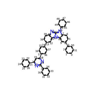 c1ccc(-c2ccc3c(c2)n2c4cc(-c5ccc(-c6cc(-c7ccccc7)nc(-c7ccccc7)n6)cc5)ccc4nc2n3-c2ccccc2)cc1